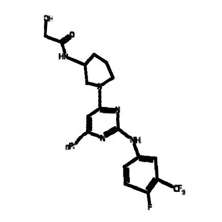 CCCc1cc(N2CCCC(NC(=O)CO)C2)nc(Nc2ccc(F)c(C(F)(F)F)c2)n1